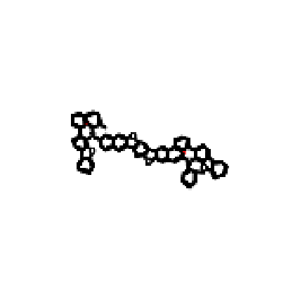 Cc1ccccc1N(c1ccc2cc3c(cc2c1)oc1cc2c(cc13)oc1cc3cc(N(c4ccccc4C)c4c(-c5ccccc5)ccc5c4oc4ccccc45)ccc3cc12)c1c(-c2ccccc2)ccc2c1oc1ccccc12